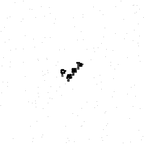 [Al].[Cr].[Si].[Ta]